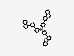 c1cc(-c2cccc(N(c3ccc(-c4ccc5c(ccc6ccccc65)c4)cc3)c3ccc(-c4cccc5c4sc4ccccc45)cc3)c2)cc(-c2cccc3ccccc23)c1